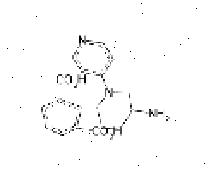 NC1CCCN(c2ccncc2)C1.O=C(O)c1cccc(C(=O)O)c1